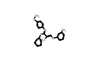 COc1ccc(N=C(Sc2ccccc2)C(C)=COc2cccc(C)c2)cc1